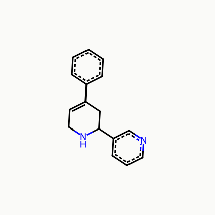 C1=C(c2ccccc2)CC(c2cccnc2)NC1